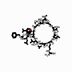 CC[C@H](C)[C@@H]1NC(=O)[C@@H](CCCNC(=N)N)NC(=O)[C@H](CC(C)C)NC(=O)[C@H]([C@H](O)C(C)C)NC(=O)[C@@H](NC(=O)[C@H](CC(C)C)NC(=O)[C@@H](CC(C)C)NC(=O)OCc2ccccc2)[C@@H](c2ccccc2)OC(=O)[C@H](CO)NC(=O)[C@H]([C@H](O)C(=O)NC)NC(=O)CNC(=O)[C@H]([C@H](C)O)NC1=O